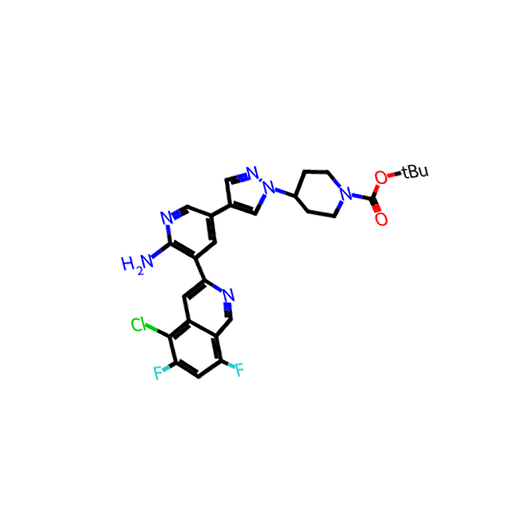 CC(C)(C)OC(=O)N1CCC(n2cc(-c3cnc(N)c(-c4cc5c(Cl)c(F)cc(F)c5cn4)c3)cn2)CC1